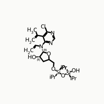 C=CN(c1ncnc(Cl)c1C(=C)C)[C@@H]1OC(CO[Si](O[Si](O)(C(C)C)C(C)C)(C(C)C)C(C)C)C[C@H]1O